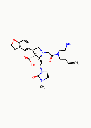 CCCCN(CCN)C(=O)CN1C[C@H](c2ccc3c(c2)CCO3)[C@@H](C(=O)O)[C@@H]1CCN1CCN(C)C1=O